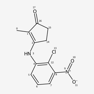 CC1=C(Nc2cccc([N+](=O)[O-])c2Cl)CCC1=O